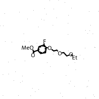 CCOCCOCCOc1ccc(C(=O)OC)cc1F